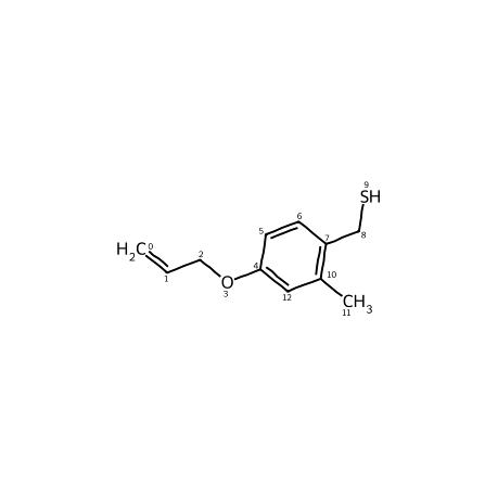 C=CCOc1ccc(CS)c(C)c1